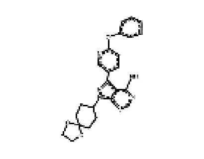 Nc1ncnc2c1c(-c1ccc(Oc3ccccc3)nc1)nn2C1CCC2(CC1)OCCO2